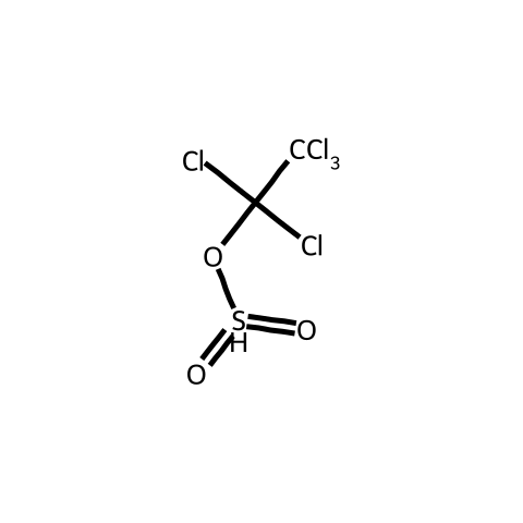 O=[SH](=O)OC(Cl)(Cl)C(Cl)(Cl)Cl